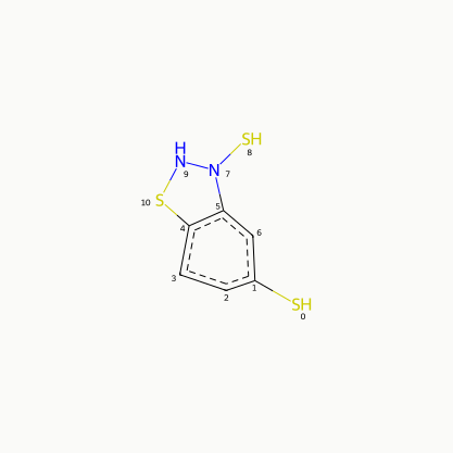 Sc1ccc2c(c1)N(S)NS2